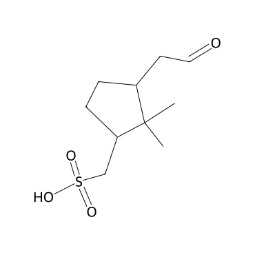 CC1(C)C(CC=O)CCC1CS(=O)(=O)O